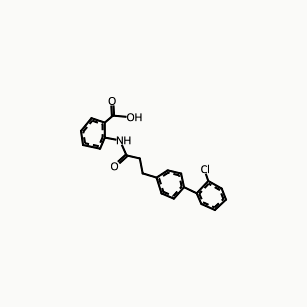 O=C(CCc1ccc(-c2ccccc2Cl)cc1)Nc1ccccc1C(=O)O